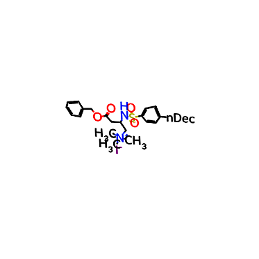 CCCCCCCCCCc1ccc(S(=O)(=O)N[C@H](CC(=O)OCc2ccccc2)C[N+](C)(C)C)cc1.[I-]